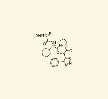 CC[C@H](NC)C(=O)N[C@H](C(=O)N1CCC[C@H]1C(=O)Nc1snnc1-c1ccccc1)C1CCCCC1